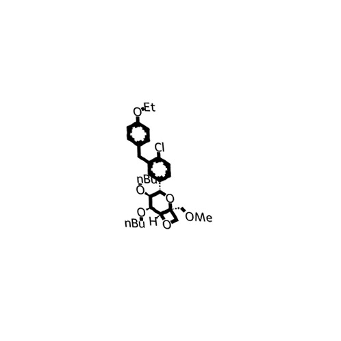 CCCCO[C@@H]1[C@@H](OCCCC)[C@@H]2OC[C@]2(COC)O[C@H]1c1ccc(Cl)c(Cc2ccc(OCC)cc2)c1